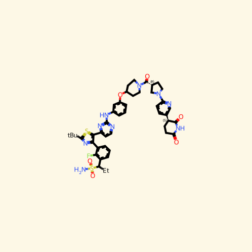 CCC(c1cccc(-c2nc(C(C)(C)C)sc2-c2ccnc(Nc3cccc(OC4CCN(C(=O)[C@@H]5CCN(c6ccc([C@@H]7CCC(=O)NC7=O)cn6)C5)CC4)c3)n2)c1F)S(N)(=O)=O